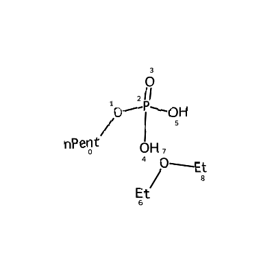 CCCCCOP(=O)(O)O.CCOCC